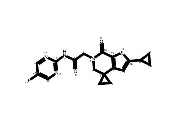 O=C(CN1CC2(CC2)c2cc(C3CC3)sc2C1=O)Nc1ncc(F)cn1